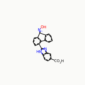 O=C(O)c1ccc2[nH]c(-c3cccc4c3-c3ccccc3/C4=N\O)nc2c1